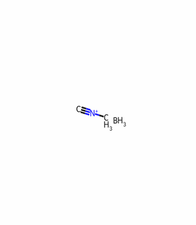 B.[C-]#[N+]C